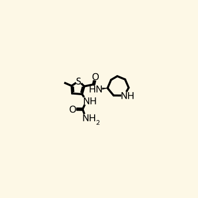 Cc1cc(NC(N)=O)c(C(=O)N[C@H]2CCCCNC2)s1